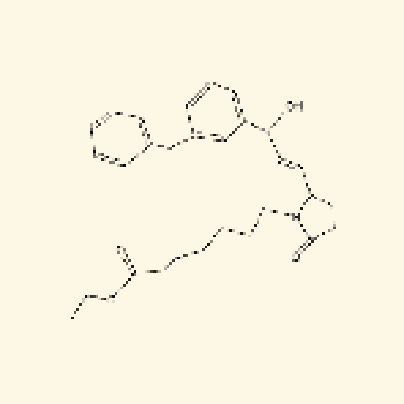 CCOC(=O)CCCCCCN1C(=O)CCC1C=CC(O)c1cccc(Cc2ccccc2)c1